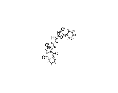 O=C1c2ccccc2C(=O)c2c1n[n+]([O-])n2CCCNC1=NC(=O)C(c2ccccc2)O1